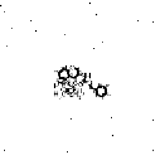 C=C[C@@H](NC(=O)OCc1ccccc1)[C@H](O[Si](C)(C)C(C)(C)C)c1ccccc1